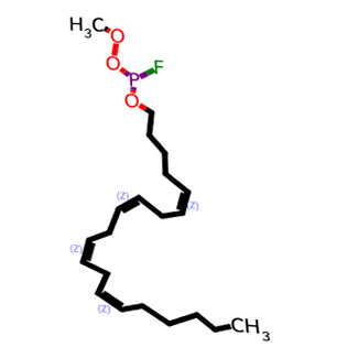 CCCCC/C=C\C/C=C\C/C=C\C/C=C\CCCCOP(F)OOC